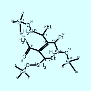 CCC([SiH2]O[Si](C)(C)C)C(C(N)=O)=C(C(CC)[SiH2]O[Si](C)(C)C)C(CC)[SiH2]O[Si](C)(C)C